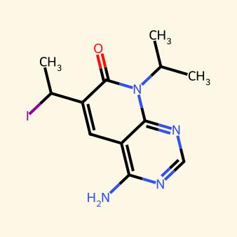 CC(I)c1cc2c(N)ncnc2n(C(C)C)c1=O